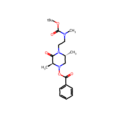 C[C@@H]1CN(OC(=O)c2ccccc2)[C@@H](C)C(=O)N1CCN(C)C(=O)OC(C)(C)C